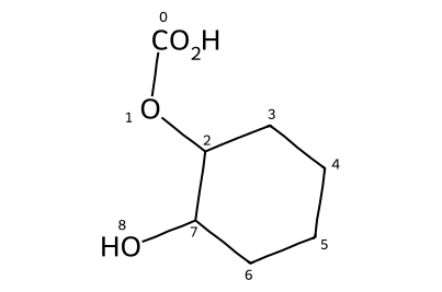 O=C(O)OC1CCCCC1O